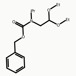 CCOC(CN(C(=O)OCc1ccccc1)C(C)C)OCC